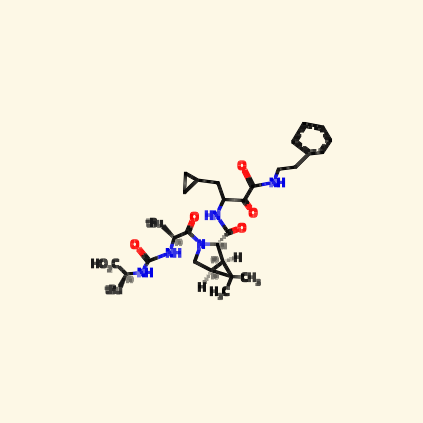 CC(C)(C)[C@H](NC(=O)N[C@H](C(=O)N1C[C@H]2[C@@H]([C@H]1C(=O)NC(CC1CC1)C(=O)C(=O)NCCc1ccccc1)C2(C)C)C(C)(C)C)C(=O)O